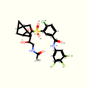 CC(C)(C)C(=O)NCC(O)C[C@@]1(O)C2CC3CC31CC(S(=O)(=O)c1cc(C(=O)Nc3cc(F)c(F)c(F)c3)ccc1Cl)C2